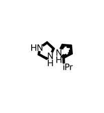 C1CNCCN1.CC(C)c1ccc[nH]1